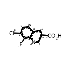 O=C(O)c1cnc2c(F)c(Cl)ccc2c1